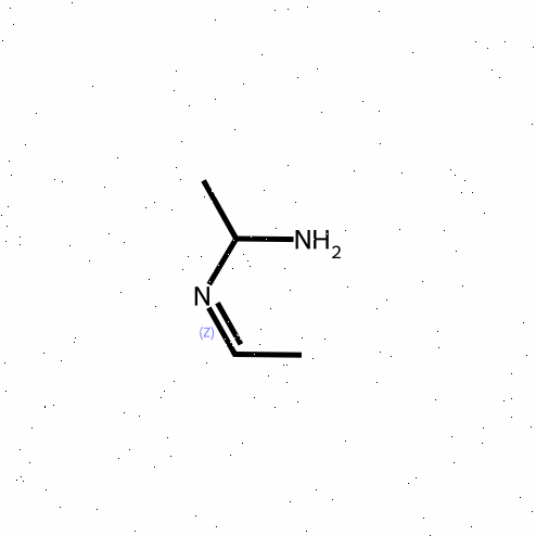 C/C=N\C(C)N